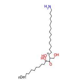 CCCCCCCCCCCCCCCCCC[C@H](O)C(=O)C(CO)[C@H](O)CCCCCCCCCCCCCCCN